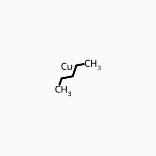 CCCCC.[Cu]